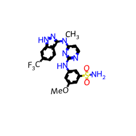 COc1cc(Nc2nccc(N(C)c3n[nH]c4cc(C(F)(F)F)ccc34)n2)cc(S(N)(=O)=O)c1